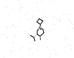 CC(C)[C@@H]1CN(C2CCC2)CC[C@H]1C